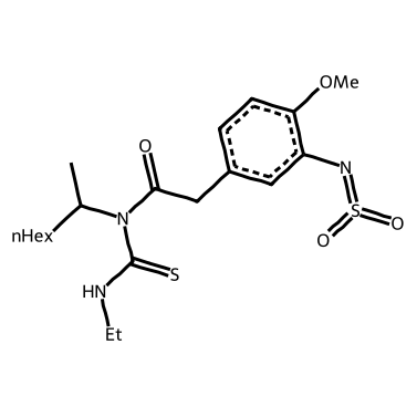 CCCCCCC(C)N(C(=O)Cc1ccc(OC)c(N=S(=O)=O)c1)C(=S)NCC